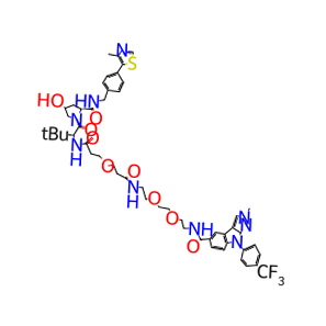 Cc1ncsc1-c1ccc(CNC(=O)[C@@H]2C[C@@H](O)CN2C(=O)[C@@H](NC(=O)CCOCCC(=O)NCCOCCOCCNC(=O)c2ccc3c(c2)c2cn(C)nc2n3-c2ccc(C(F)(F)F)cc2)C(C)(C)C)cc1